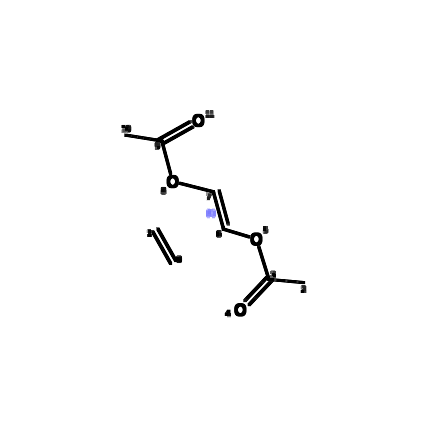 C=C.CC(=O)O/C=C/OC(C)=O